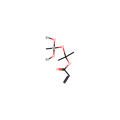 C=CC(=O)OC(C)(C)O[Si](C)(OCC)OCC